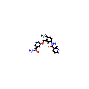 Cc1ccc(NC(=O)c2cccnc2)cc1COc1cncc(C(N)=O)c1